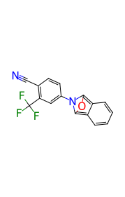 N#Cc1ccc(-n2c3oc2c2ccccc23)cc1C(F)(F)F